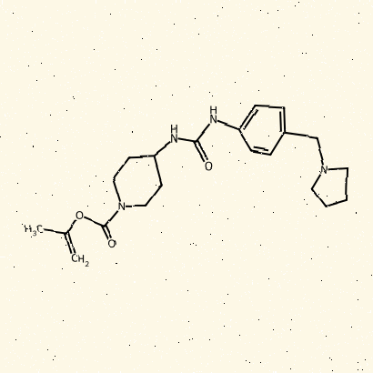 C=C(C)OC(=O)N1CCC(NC(=O)Nc2ccc(CN3CCCC3)cc2)CC1